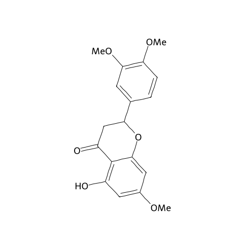 COc1cc(O)c2c(c1)OC(c1ccc(OC)c(OC)c1)CC2=O